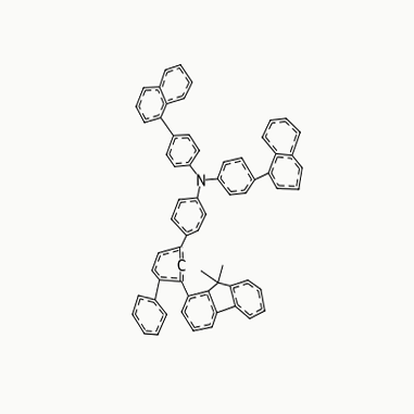 CC1(C)c2ccccc2-c2cccc(-c3cc(-c4ccc(N(c5ccc(-c6cccc7ccccc67)cc5)c5ccc(-c6cccc7ccccc67)cc5)cc4)ccc3-c3ccccc3)c21